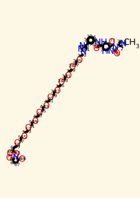 CN1CC(N2C(=O)NC3(CCC(C(=O)Nc4cccc(-c5cn(CCOCCOCCOCCOCCOCCOCCOCCOCCOCCOCCOCCOCCC(=O)ON6C(=O)CCC6=O)nn5)c4)CC3)C2=O)C1